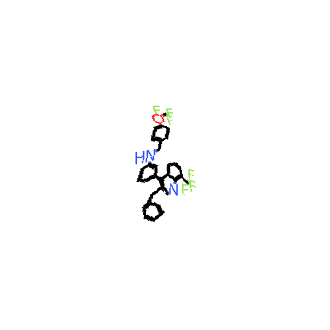 FC(F)(F)Oc1ccc(CNc2cccc(-c3c(Cc4ccccc4)cnc4c(C(F)(F)F)cccc34)c2)cc1